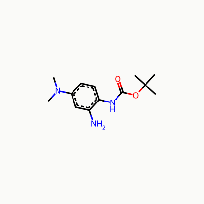 CN(C)c1ccc(NC(=O)OC(C)(C)C)c(N)c1